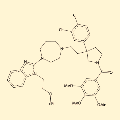 CCCOCCn1c(N2CCCN(CCC3(c4ccc(Cl)c(Cl)c4)CCN(C(=O)c4cc(OC)c(OC)c(OC)c4)C3)CC2)nc2ccccc21